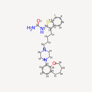 NC(=O)Nc1sc2ccccc2c1CCCCN1CCN(c2cccc3c2OCCCC3)CC1